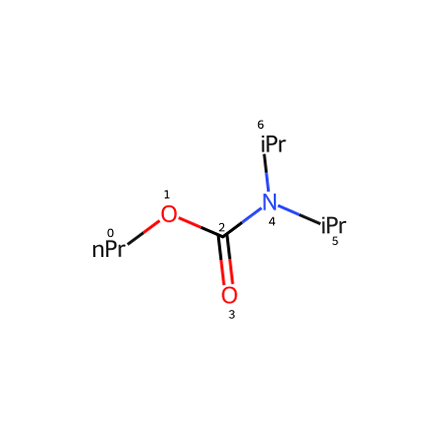 C[CH]COC(=O)N(C(C)C)C(C)C